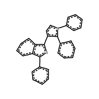 c1ccc(-c2sc(-c3ccn(-c4ccccc4)c3-c3ccccc3)c3ccccc23)cc1